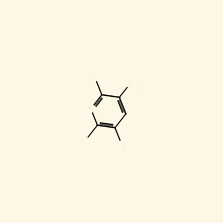 O=[N+]([O-])c1cc(Cl)c(Cl)nc1Cl